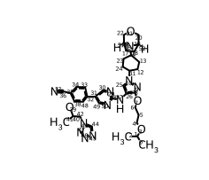 CC(C)OCCCOc1nn(C2CCC(N3[C@@H]4CC[C@H]3COC4)CC2)cc1Nc1ncc(-c2ccc(C#N)c(OC(C)Cn3cnnn3)c2)cn1